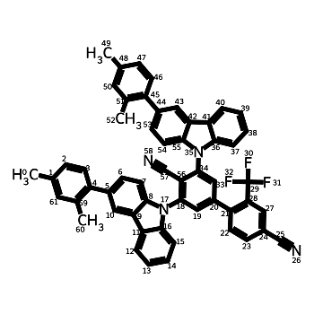 Cc1ccc(-c2ccc3c(c2)c2ccccc2n3-c2cc(-c3ccc(C#N)cc3C(F)(F)F)cc(-n3c4ccccc4c4cc(-c5ccc(C)cc5C)ccc43)c2C#N)c(C)c1